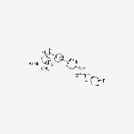 CC(=O)NC(C)(C)CS(=O)(=O)NC12CCC(c3ccc(NC(=O)N4Cc5ccc(F)cc5C4)cc3)(CC1)CC2